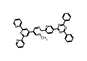 C=N/C=C(\C=N/Cc1ccc(-c2nc(-c3ccccc3)nc(-c3ccccc3)n2)cn1)c1cc(-c2ccccn2)nc(-c2ccccn2)c1